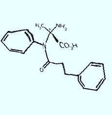 C[C@@](N)(C(=O)O)N(C(=O)CCc1ccccc1)c1ccccc1